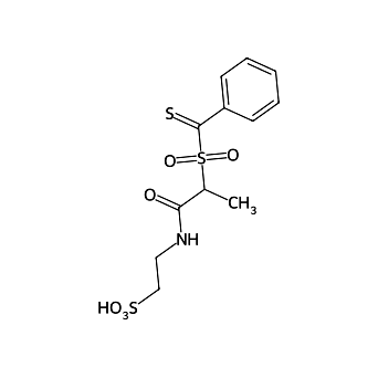 CC(C(=O)NCCS(=O)(=O)O)S(=O)(=O)C(=S)c1ccccc1